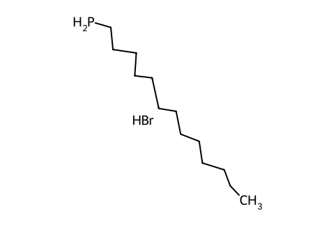 Br.CCCCCCCCCCCCCP